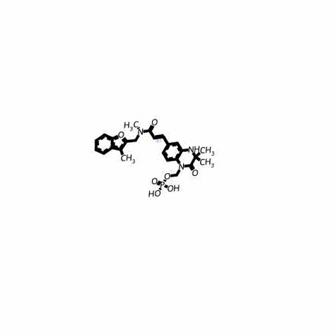 Cc1c(CN(C)C(=O)/C=C/c2ccc3c(c2)NC(C)(C)C(=O)N3COP(=O)(O)O)oc2ccccc12